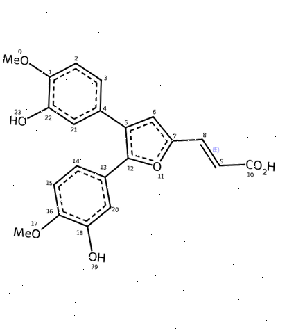 COc1ccc(-c2cc(/C=C/C(=O)O)oc2-c2ccc(OC)c(O)c2)cc1O